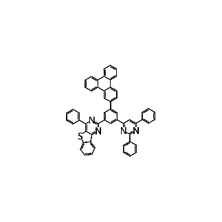 c1ccc(-c2cc(-c3cc(-c4ccc5c6ccccc6c6ccccc6c5c4)cc(-c4nc(-c5ccccc5)c5sc6ccccc6c5n4)c3)nc(-c3ccccc3)n2)cc1